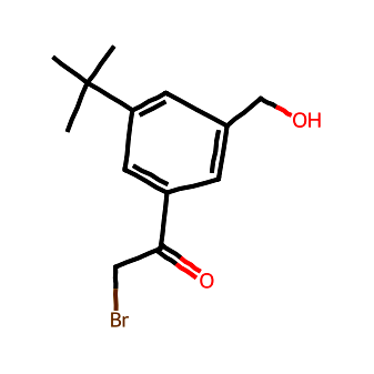 CC(C)(C)c1cc(CO)cc(C(=O)CBr)c1